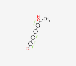 CCCC(O)c1ccc(C2=CCC(c3ccc(-c4ccc(C5CO5)c(F)c4F)cc3F)CC2)c(F)c1F